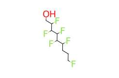 OCC(F)C(F)C(F)C(F)C(F)CCCF